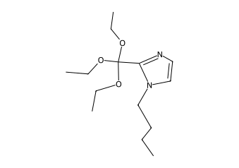 CCCCn1ccnc1C(OCC)(OCC)OCC